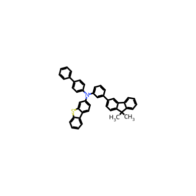 CC1(C)c2ccccc2-c2cc(-c3cccc(N(c4ccc(-c5ccccc5)cc4)c4ccc5c(c4)sc4ccccc45)c3)ccc21